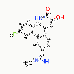 CN1NC1c1ccc(-c2cc(O)c(=O)[nH]c2-c2ccc(F)cc2)cc1